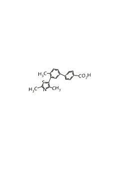 Cc1nc(C)c(-c2cc(-c3ccc(C(=O)O)cc3)ccc2C)s1